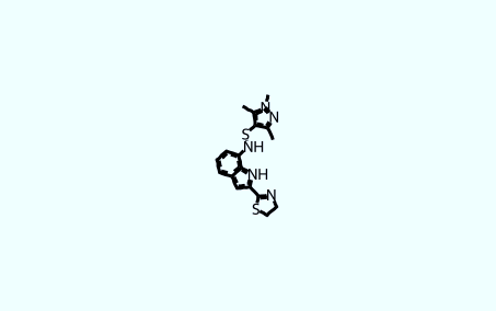 Cc1nn(C)c(C)c1SNc1cccc2cc(C3=NCCS3)[nH]c12